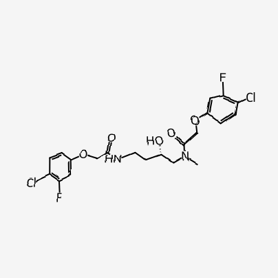 CN(C[C@@H](O)CCNC(=O)COc1ccc(Cl)c(F)c1)C(=O)COc1ccc(Cl)c(F)c1